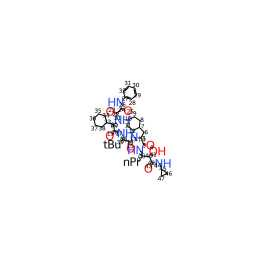 CCC[C@H](NC(=O)[C@@H]1CC2CCCCC2N1C(=O)[C@@H](NC(=O)[C@@H](NC(=O)C(=O)Nc1ccccc1)C1CCCCC1)C(C)(C)C)C(O)C(=O)NC1CC1